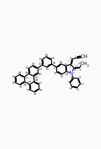 C#C/C=c1\c(=C/C)n(-c2ccccc2)c2ccc(-c3cccc(-c4ccc5c6ccccc6c6ccccc6c5c4)c3)cc12